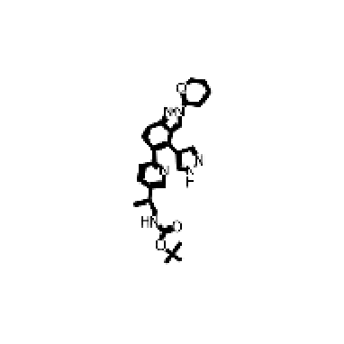 CC(CNC(=O)OC(C)(C)C)c1ccc(-c2ccc3nn(C4CCCCO4)cc3c2-c2cn[nH]c2)nc1